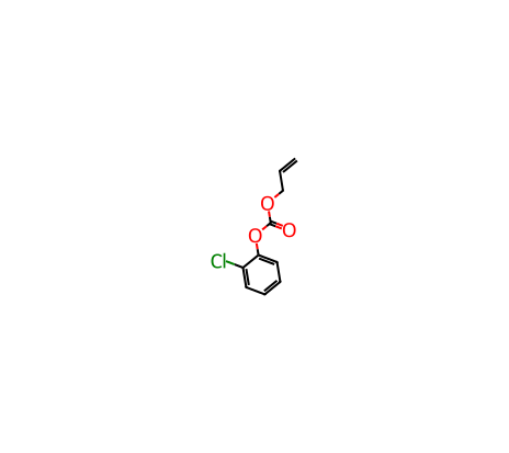 C=CCOC(=O)Oc1ccccc1Cl